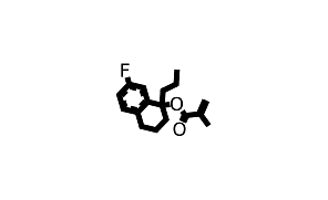 C=C(C)C(=O)OC1(CCC)CCCc2ccc(F)cc21